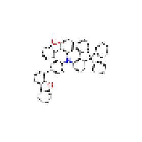 c1ccc(C2(c3ccccc3)c3ccccc3-c3c(N(c4ccc(-c5cccc6c5oc5ccccc56)cc4)c4cccc5oc6ccccc6c45)cccc32)cc1